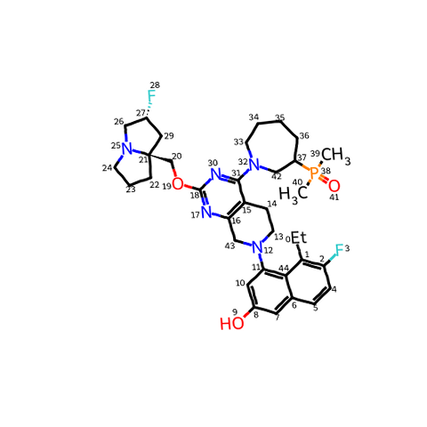 CCc1c(F)ccc2cc(O)cc(N3CCc4c(nc(OC[C@@]56CCCN5C[C@H](F)C6)nc4N4CCCCC(P(C)(C)=O)C4)C3)c12